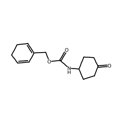 O=C1CCC(NC(=O)OCC2=CCCC=C2)CC1